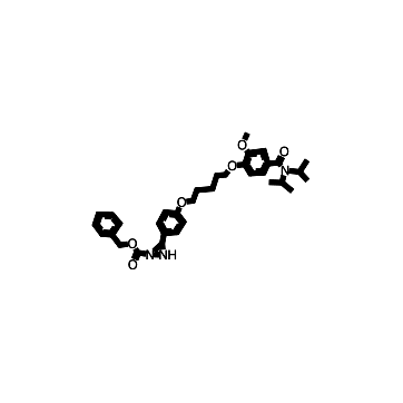 COc1cc(C(=O)N(C(C)C)C(C)C)ccc1OCCCCCOc1ccc(C2NN2C(=O)OCc2ccccc2)cc1